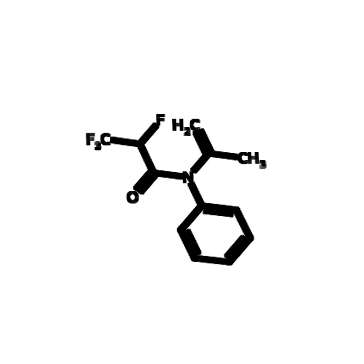 C=C(C)N(C(=O)C(F)C(F)(F)F)c1ccccc1